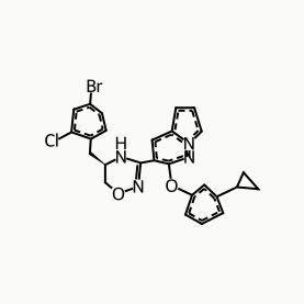 Clc1cc(Br)ccc1C[C@@H]1CON=C(c2cc3cccn3nc2Oc2cccc(C3CC3)c2)N1